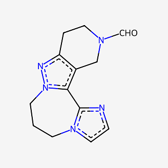 O=CN1CCc2nn3c(c2C1)-c1nccn1CCC3